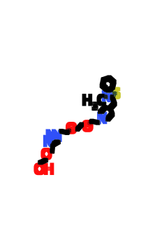 C[n+]1c(C=C2C=CN(CCOCCOCCn3cc(COCCO)nn3)C=C2)sc2ccccc21